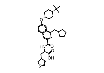 CC(C)(C)[C@H]1CC[C@H](Oc2ccc3cc(C(=O)NC(CC4C=CSC4)C(=O)O)nc(CC4CCCC4)c3c2)CC1